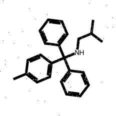 Cc1ccc(C(NCC(C)C)(c2ccccc2)c2ccccc2)cc1